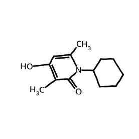 Cc1c(O)cc(C)n(C2CCCCC2)c1=O